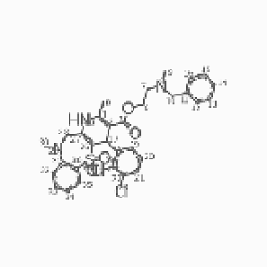 CC1=C(C(=O)OCCN(C)Cc2ccccc2)C(c2cccc(Cl)c2Cl)C2=C(CN(C)c3ccccc3S2(=O)=O)N1